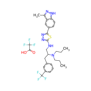 CCCN(CCC)C(CNc1nnc(-c2ccc3[nH]nc(C)c3c2)s1)Cc1cccc(C(F)(F)F)c1.O=C(O)C(F)(F)F